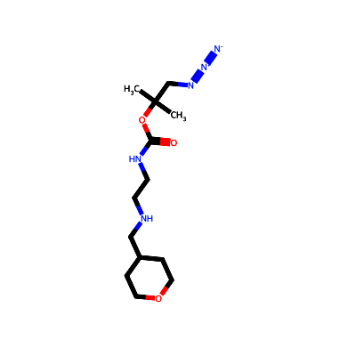 CC(C)(CN=[N+]=[N-])OC(=O)NCCNCC1CCOCC1